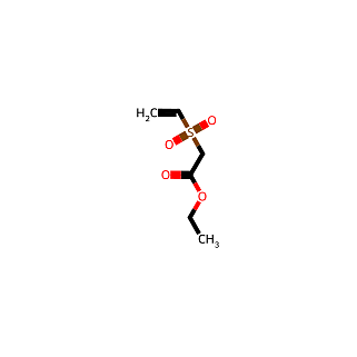 C=CS(=O)(=O)CC(=O)OCC